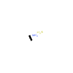 C=C.N.S